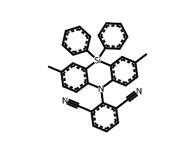 Cc1ccc2c(c1)[Si](c1ccccc1)(c1ccccc1)c1cc(C)ccc1N2c1c(C#N)cccc1C#N